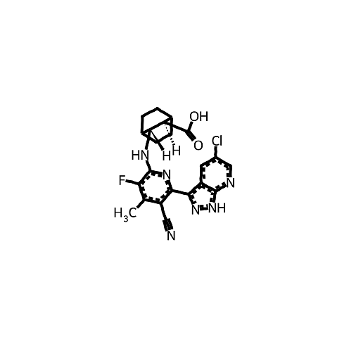 Cc1c(F)c(N[C@@H]2C3CCC(CC3)[C@H]2C(=O)O)nc(-c2n[nH]c3ncc(Cl)cc23)c1C#N